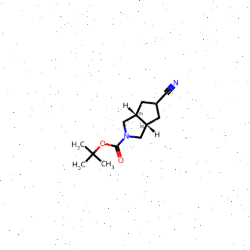 CC(C)(C)OC(=O)N1C[C@H]2CC(C#N)C[C@H]2C1